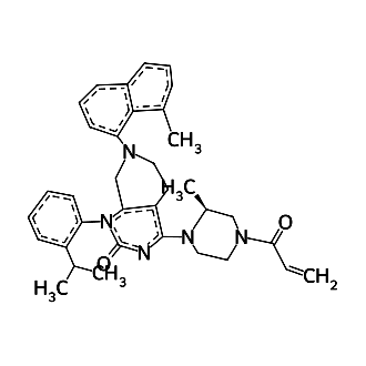 C=CC(=O)N1CCN(c2nc(=O)n(-c3ccccc3C(C)C)c3c2CCN(c2cccc4cccc(C)c24)C3)[C@@H](C)C1